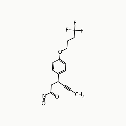 CC#CC(CC(=O)N=O)c1ccc(OCCCC(F)(F)F)cc1